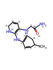 CC1C=CC(NC2=C(NCC(N)=O)C=CCN2)=CC1